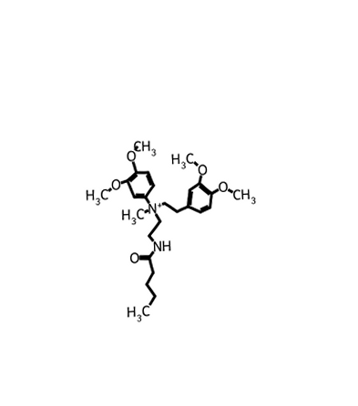 CCCCC(=O)NCC[N+](C)(CCc1ccc(OC)c(OC)c1)c1ccc(OC)c(OC)c1